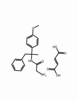 COc1ccc(C(C)(Cc2ccccc2)NC(=O)CN)cc1.O=C(O)C=CC(=O)O